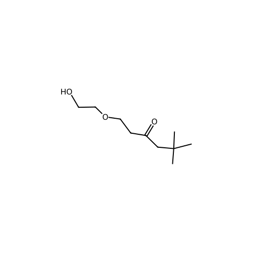 CC(C)(C)CC(=O)CCOCCO